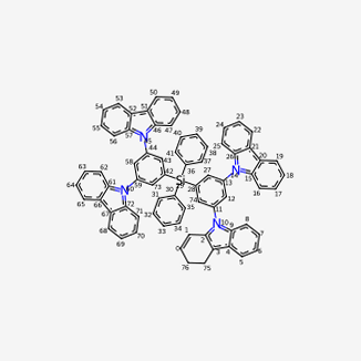 C1=Cc2c(c3ccccc3n2-c2cc(-n3c4ccccc4c4ccccc43)cc([Si](c3ccccc3)(c3ccccc3)c3cc(-n4c5ccccc5c5ccccc54)cc(-n4c5ccccc5c5ccccc54)c3)c2)CC1